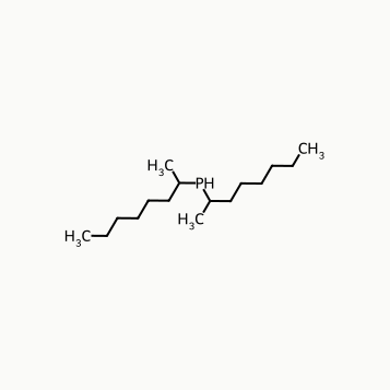 CCCCCCC(C)PC(C)CCCCCC